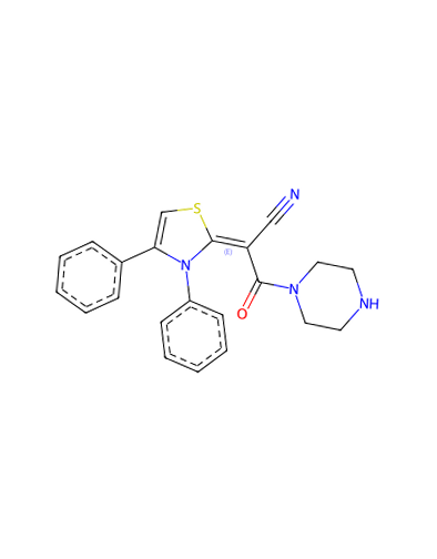 N#C/C(C(=O)N1CCNCC1)=C1\SC=C(c2ccccc2)N1c1ccccc1